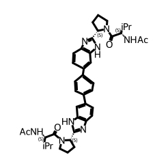 CC(=O)N[C@H](C(=O)N1CCC[C@H]1c1nc2ccc(-c3ccc(-c4ccc5nc([C@@H]6CCCN6C(=O)[C@@H](NC(C)=O)C(C)C)[nH]c5c4)cc3)cc2[nH]1)C(C)C